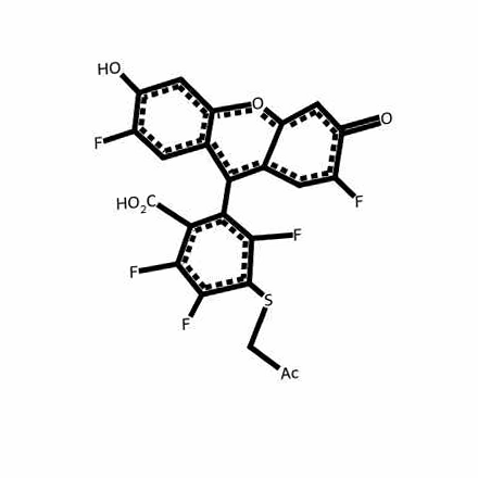 CC(=O)CSc1c(F)c(F)c(C(=O)O)c(-c2c3cc(F)c(=O)cc-3oc3cc(O)c(F)cc23)c1F